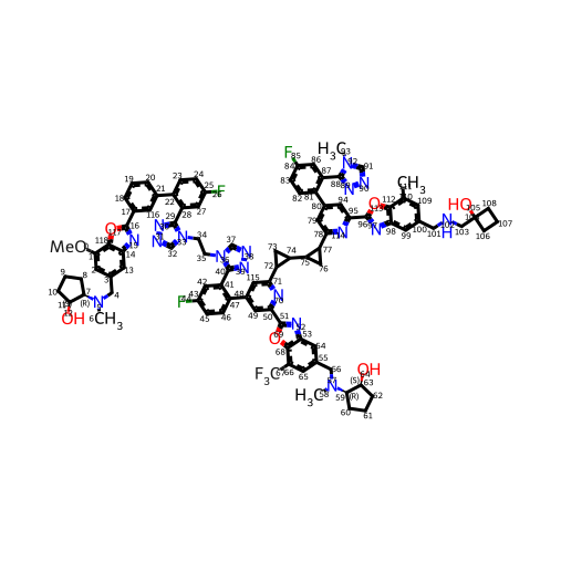 COc1cc(CN(C)[C@@H]2CCC[C@@H]2O)cc2nc(-c3cccc(-c4ccc(F)cc4-c4nncn4CCn4cnnc4-c4cc(F)ccc4-c4cc(-c5nc6cc(CN(C)[C@@H]7CCC[C@@H]7O)cc(C(F)(F)F)c6o5)nc(C5CC5C5CC5c5cc(-c6ccc(F)cc6-c6nncn6C)cc(-c6nc7cc(CNCC8(O)CCC8)cc(C)c7o6)n5)c4)c3)oc12